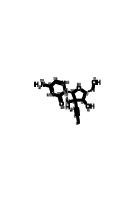 CC#CC1(N)C(O)[C@@H](CO)O[C@H]1n1ncc(N)nc1=O